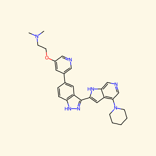 CN(C)CCOc1cncc(-c2ccc3[nH]nc(-c4cc5c(N6CCCCC6)cncc5[nH]4)c3c2)c1